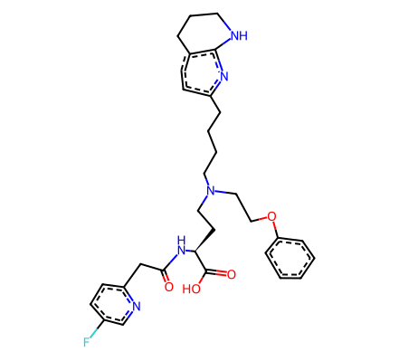 O=C(Cc1ccc(F)cn1)N[C@@H](CCN(CCCCc1ccc2c(n1)NCCC2)CCOc1ccccc1)C(=O)O